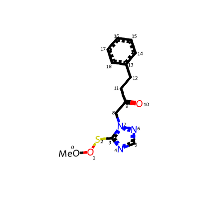 COOSc1ncnn1CC(=O)CCc1ccccc1